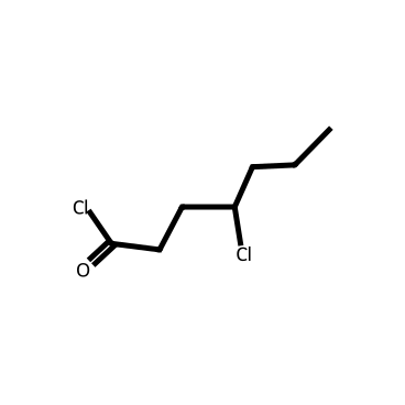 CCCC(Cl)CCC(=O)Cl